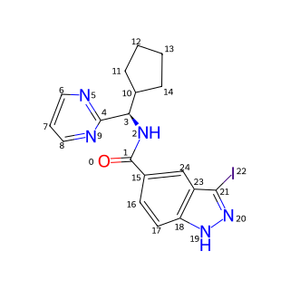 O=C(N[C@@H](c1ncccn1)C1CCCC1)c1ccc2[nH]nc(I)c2c1